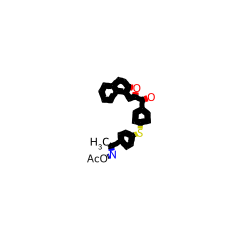 CC(=O)O/N=C(\C)c1ccc(Sc2ccc(C(=O)c3cc4c(ccc5ccccc54)o3)cc2)cc1